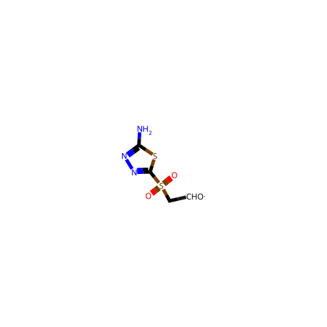 Nc1nnc(S(=O)(=O)C[C]=O)s1